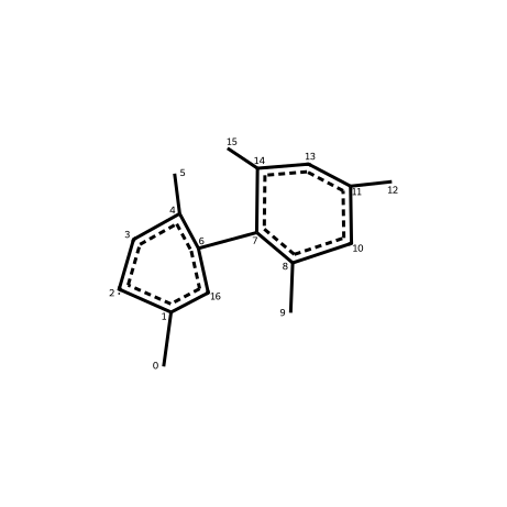 Cc1[c]cc(C)c(-c2c(C)cc(C)cc2C)c1